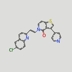 O=c1c2c(-c3ccncc3)csc2ccn1C=Cc1ccc2cc(Cl)ccc2n1